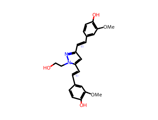 COc1cc(/C=C/c2cc(/C=C/c3ccc(O)c(OC)c3)n(CCO)n2)ccc1O